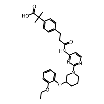 CCOc1ccccc1OC1CCCN(c2nccc(NC(=O)CCc3ccc(C(C)(C)C(=O)O)cc3)n2)C1